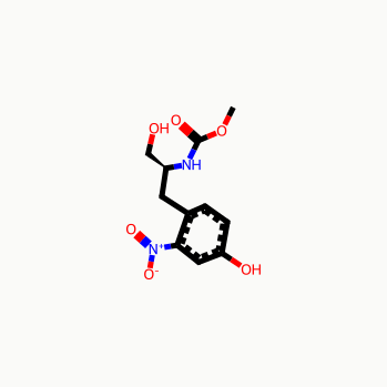 COC(=O)N[C@H](CO)Cc1ccc(O)cc1[N+](=O)[O-]